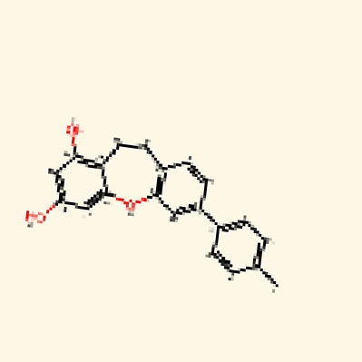 Cc1ccc(-c2ccc3c(c2)Oc2cc(O)cc(O)c2CC3)cc1